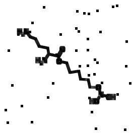 NCCCCC(N)C(=O)OCCCCCCON(O)O